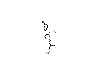 CCCC(=N)CCc1ccc(-c2ccc(Cl)cc2)c(OC)c1